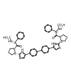 O=C(O)N[C@@H](C(=O)N1CSC[C@H]1c1ncc(-c2ccc(-c3ccc(-c4cnc([C@@H]5CSCN5C(=O)[C@H](NC(=O)O)c5ccccc5)[nH]4)cc3)cc2)[nH]1)c1ccccc1